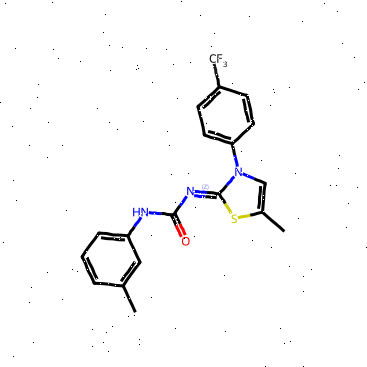 Cc1cccc(NC(=O)/N=c2\sc(C)cn2-c2ccc(C(F)(F)F)cc2)c1